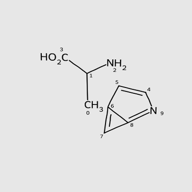 CC(N)C(=O)O.c1cc2cc-2n1